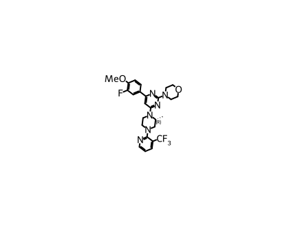 COc1ccc(-c2cc(N3CCN(c4ncccc4C(F)(F)F)C[C@H]3C)nc(N3CCOCC3)n2)cc1F